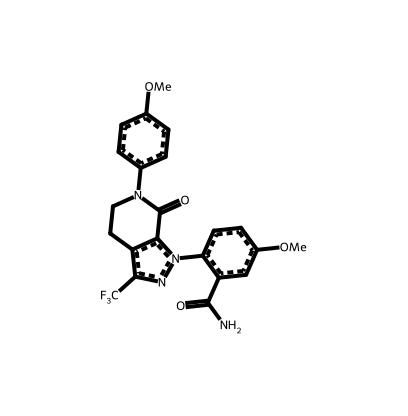 COc1ccc(N2CCc3c(C(F)(F)F)nn(-c4ccc(OC)cc4C(N)=O)c3C2=O)cc1